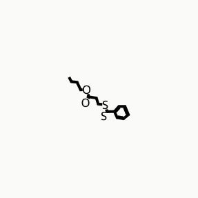 CCCCOC(=O)CCSC(=S)c1ccccc1